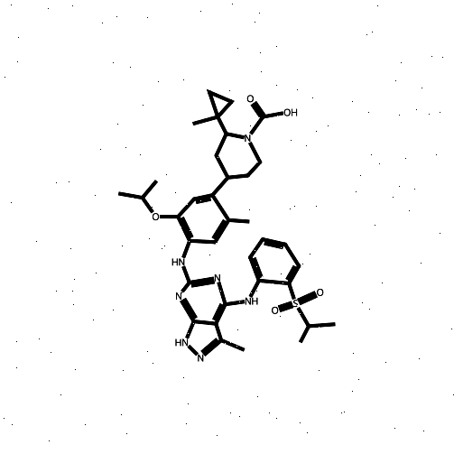 Cc1cc(Nc2nc(Nc3ccccc3S(=O)(=O)C(C)C)c3c(C)n[nH]c3n2)c(OC(C)C)cc1C1CCN(C(=O)O)C(C2(C)CC2)C1